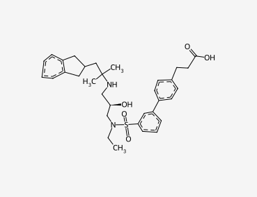 CCN(C[C@H](O)CNC(C)(C)CC1Cc2ccccc2C1)S(=O)(=O)c1cccc(-c2ccc(CCC(=O)O)cc2)c1